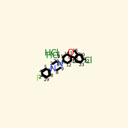 Cl.Cl.Fc1ccc(N2CCN(C3CCC4(CC3)OCc3cc(Cl)ccc34)CC2)cc1